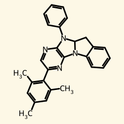 Cc1cc(C)c(-c2cnc3c(n2)N2c4ccccc4CC2N3c2ccccc2)c(C)c1